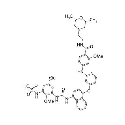 COc1cc(Nc2cc(Oc3ccc(NC(=O)Nc4cc(C(C)(C)C)cc(NS(C)(=O)=O)c4OC)c4ccccc34)ccn2)ccc1C(=O)NCCN1C[C@@H](C)O[C@@H](C)C1